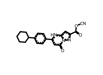 N#COC(=O)c1cc2[nH]c(-c3ccc(C4CCCCC4)cc3)cc(=O)n2n1